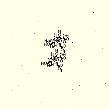 CCOC(=O)CCS[C@@]1(n2cnc3c(O)ncnc32)O[C@H](C(O)C(=O)[O-])[C@@H](O)[C@H]1O.CCOC(=O)CCS[C@@]1(n2cnc3c(O)ncnc32)O[C@H](C(O)C(=O)[O-])[C@@H](O)[C@H]1O.[Na+].[Na+]